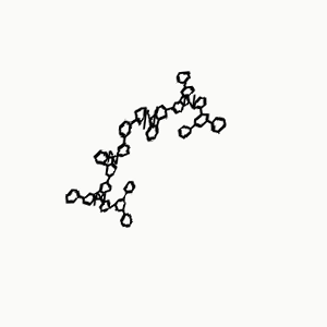 c1ccc(-c2cc(-c3ccccc3)cc(-c3cccc(-n4c5ccc(-c6ccccc6)cc5c5cc(-c6ccc7c(c6)c6ccccc6n7-c6cccc(-c7cccc(-c8cccc(-n9c%10ccccc%10c%10cc(-c%11ccc%12c(c%11)c%11cc(-c%13ccccc%13)ccc%11n%12-c%11cccc(-c%12cc(-c%13ccccc%13)cc(-c%13ccccc%13)c%12)c%11)ccc%109)c8)c7)c6)ccc54)c3)c2)cc1